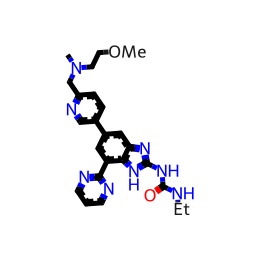 CCNC(=O)Nc1nc2cc(-c3ccc(CN(C)CCOC)nc3)cc(-c3ncccn3)c2[nH]1